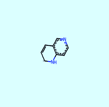 [C]1C=Cc2cnccc2N1